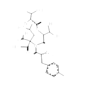 CC(=O)C(CC(C)C)(C(=O)O)N(C(=O)C(N)Cc1ccc(O)cc1)C(=O)C(NC(=O)C(N)C(C)O)C(C)C